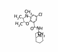 CC1Oc2c(C(=O)NC3CC4CCCC(C3)N4C)cc(Cl)cc2N(C)C1C